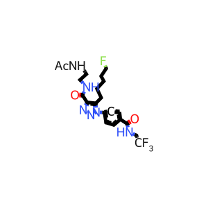 CC(=O)NCCNC(=O)c1nnn(-c2ccc(C(=O)NCC(F)(F)F)cc2)c1CCCCCF